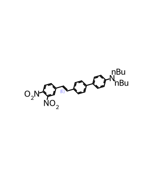 CCCCN(CCCC)c1ccc(-c2ccc(/C=C/c3ccc([N+](=O)[O-])c([N+](=O)[O-])c3)cc2)cc1